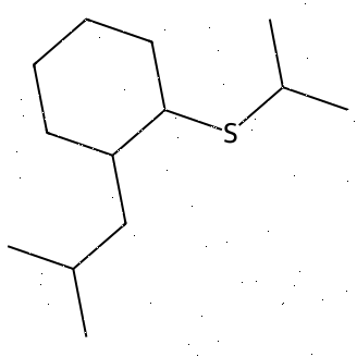 CC(C)CC1CCCCC1SC(C)C